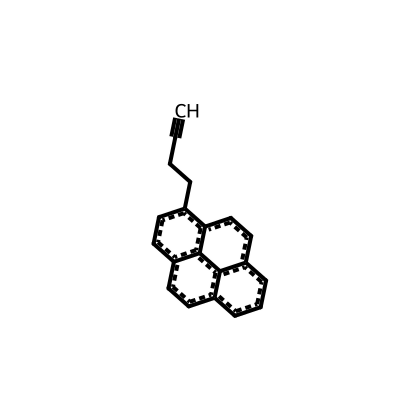 C#CCCc1ccc2ccc3cccc4ccc1c2c34